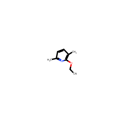 Cc1ccc(C)c(OCC#N)n1